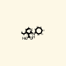 CCc1ccnc(NC2CCCCCC2)c1C(=O)O